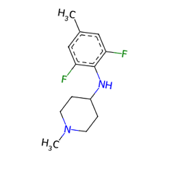 Cc1cc(F)c(NC2CCN(C)CC2)c(F)c1